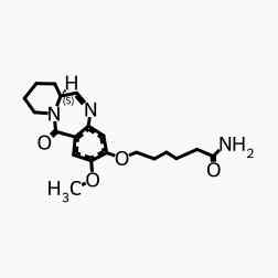 COc1cc2c(cc1OCCCCCC(N)=O)N=C[C@@H]1CCCCN1C2=O